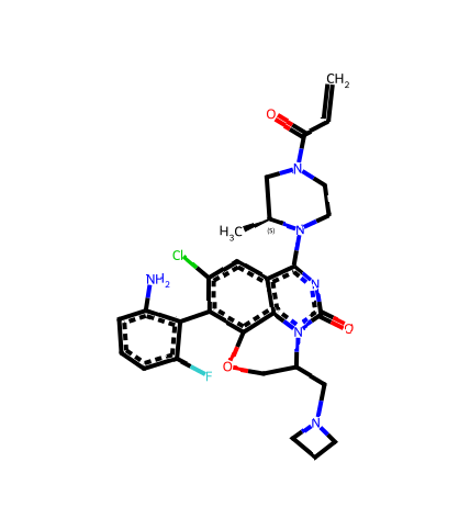 C=CC(=O)N1CCN(c2nc(=O)n3c4c(c(-c5c(N)cccc5F)c(Cl)cc24)OCC3CN2CCC2)[C@@H](C)C1